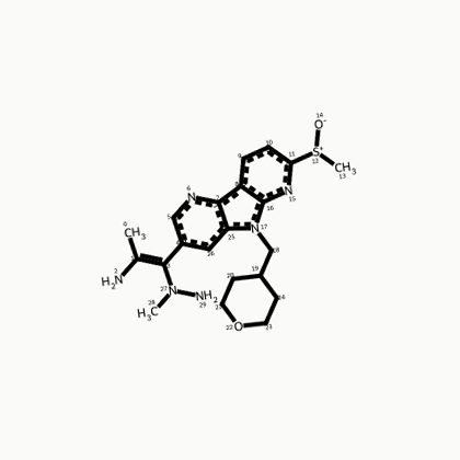 C/C(N)=C(\c1cnc2c3ccc([S+](C)[O-])nc3n(CC3CCOCC3)c2c1)N(C)N